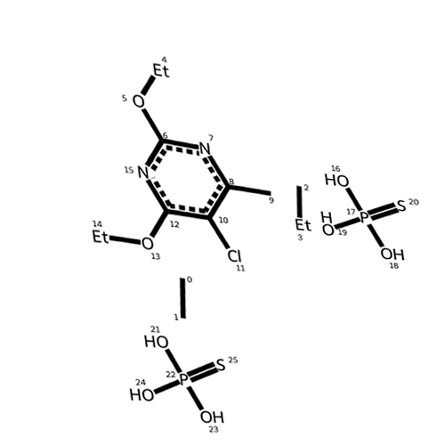 CC.CCC.CCOc1nc(C)c(Cl)c(OCC)n1.OP(O)(O)=S.OP(O)(O)=S